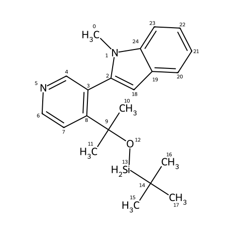 Cn1c(-c2cnccc2C(C)(C)O[SiH2]C(C)(C)C)cc2ccccc21